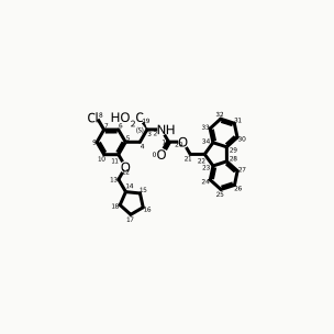 O=C(N[C@@H](Cc1cc(Cl)ccc1OCC1CCCC1)C(=O)O)OCC1c2ccccc2-c2ccccc21